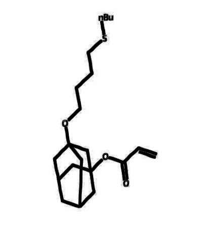 C=CC(=O)OC12CC3CC(CC(OCCCCSCCCC)(C3)C1)C2